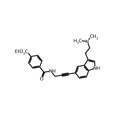 CCOC(=O)c1ccc(C(=O)NCC#Cc2ccc3[nH]cc(CCN(C)C)c3c2)cc1